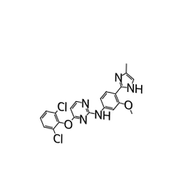 COc1cc(Nc2nccc(Oc3c(Cl)cccc3Cl)n2)ccc1-c1nc(C)c[nH]1